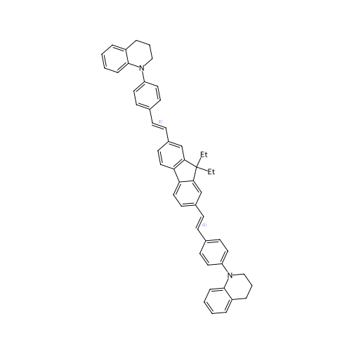 CCC1(CC)c2cc(/C=C/c3ccc(N4CCCc5ccccc54)cc3)ccc2-c2ccc(/C=C/c3ccc(N4CCCc5ccccc54)cc3)cc21